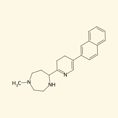 CN1CCNC(C2=NC=C(c3ccc4ccccc4c3)CC2)CC1